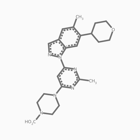 Cc1nc(N2CCN(C(=O)O)CC2)cc(-n2ncc3cc(C)c(C4CCOCC4)cc32)n1